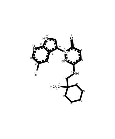 O=C(O)C1(CNc2ccc(=O)n(-c3c[nH]c4ncc(F)cc34)n2)CCCCC1